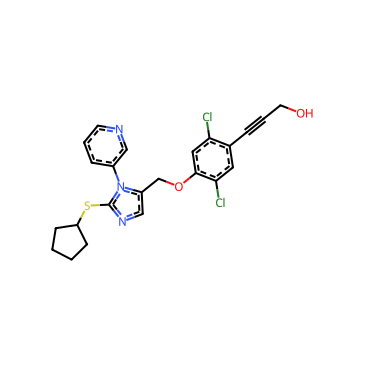 OCC#Cc1cc(Cl)c(OCc2cnc(SC3CCCC3)n2-c2cccnc2)cc1Cl